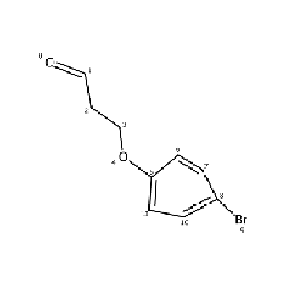 O=CCCOc1ccc(Br)cc1